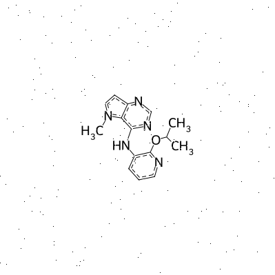 CC(C)Oc1ncccc1Nc1ncnc2ccn(C)c12